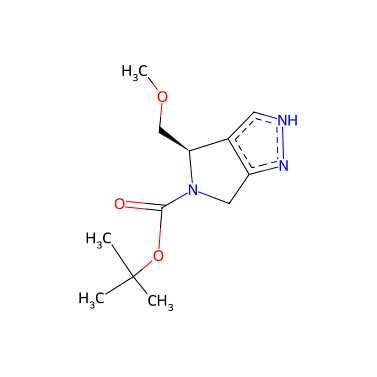 COC[C@H]1c2c[nH]nc2CN1C(=O)OC(C)(C)C